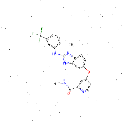 CNC(=O)c1cc(Oc2ccc3c(c2)nc(Nc2cccc(C(F)(F)F)c2)n3C)ccn1